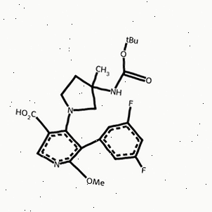 COc1ncc(C(=O)O)c(N2CCC(C)(NC(=O)OC(C)(C)C)C2)c1-c1cc(F)cc(F)c1